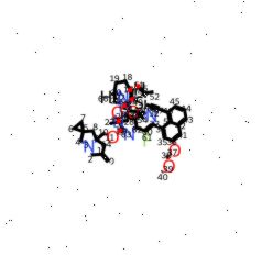 C=C1CN2CC3(CC3)CC2(COc2nc(N3C[C@H]4CC[C@@H](C3)N4C(=O)OC(C)(C)C)c3cnc(-c4cc(OCOC)cc5cccc(C#C[Si](C(C)C)(C(C)C)C(C)C)c45)c(F)c3n2)C1